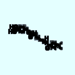 CN(C)c1ccc(C(=O)NCCCCCCC(=O)NOCc2ccc(B(O)O)cc2)cc1